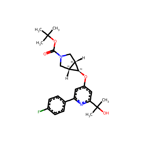 CC(C)(C)OC(=O)N1C[C@@H]2[C@H](C1)[C@H]2Oc1cc(-c2ccc(F)cc2)nc(C(C)(C)O)c1